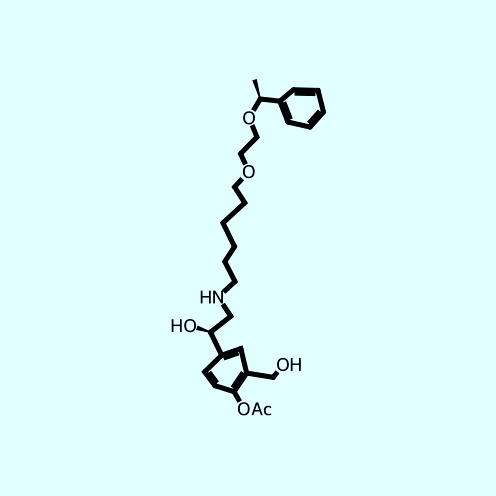 CC(=O)Oc1ccc([C@@H](O)CNCCCCCCOCCO[C@@H](C)c2ccccc2)cc1CO